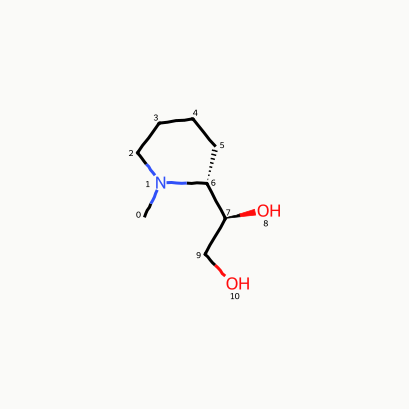 CN1CCCC[C@@H]1[C@@H](O)CO